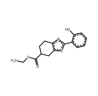 CCOC(=O)C1CCc2nc(-c3ccccc3O)sc2C1